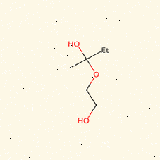 CCC(C)(O)OCCO